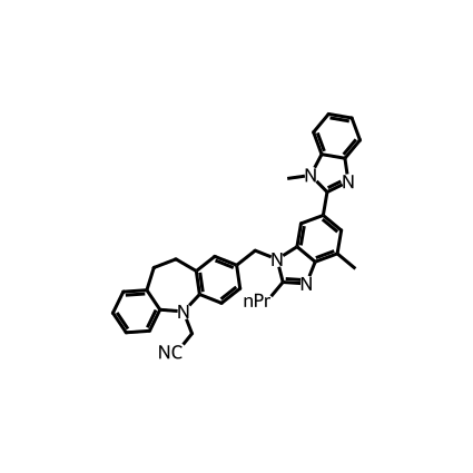 CCCc1nc2c(C)cc(-c3nc4ccccc4n3C)cc2n1Cc1ccc2c(c1)CCc1ccccc1N2CC#N